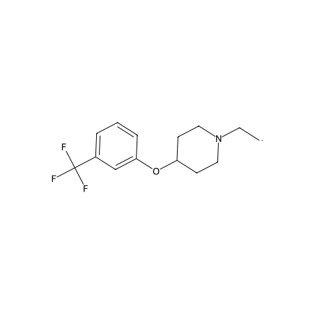 [CH2]CN1CCC(Oc2cccc(C(F)(F)F)c2)CC1